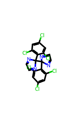 Clc1cc(Cl)c(C2(C3(c4c(Cl)cc(Cl)cc4Cl)N=CC=N3)N=CC=N2)c(Cl)c1